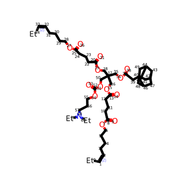 CC/C=C\CCCCOC(=O)CCCC(=O)OCC(COC(=O)CCCC(=O)OCCCC/C=C\CC)(COC(=O)CC12CC3CC(CC(C3)C1)C2)COC(=O)OCCCN(CC)CC